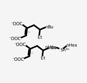 CCCCC(CC)C/C(=C/C(=O)[O-])C(=O)[O-].CCCCC(CC)C/C(=C/C(=O)[O-])C(=O)[O-].CCCCC[CH2][Sn+4][CH2]CCCCC